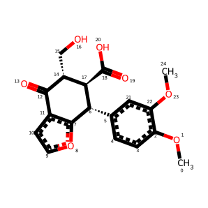 COc1ccc([C@@H]2c3occc3C(=O)[C@H](CO)[C@H]2C(=O)O)cc1OC